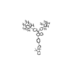 [2H]c1c([2H])c([2H])c(-c2ccc(N(c3ccc(-c4c([2H])c([2H])c([2H])c([2H])c4[2H])cc3)c3ccc(-c4ccc(-c5ccc6c(c5)C(C)(C)c5ccccc5-6)cc4)c4ccccc34)cc2)c([2H])c1[2H]